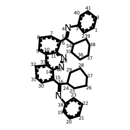 c1ccc(/N=C(/c2cccc3c2nnc2c(/C(=N/c4ccccc4)C4CCCCC4)cccc23)C2CCCCC2)cc1